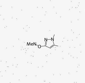 CNOc1cc(C)n(C)n1